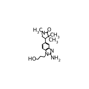 CN1CC(c2ccc3c(c2)nc(N)n3CCCO)C(C)(C)C1=O